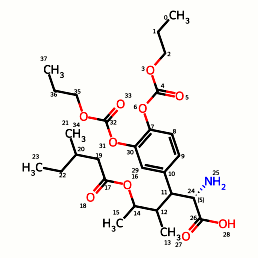 CCCOC(=O)Oc1ccc(C(C(C)C(C)OC(=O)CC(C)CC)[C@H](N)C(=O)O)cc1OC(=O)OCCC